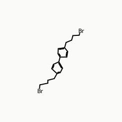 BrCCCCc1ccc(-c2ccc(CCCCBr)cc2)cc1